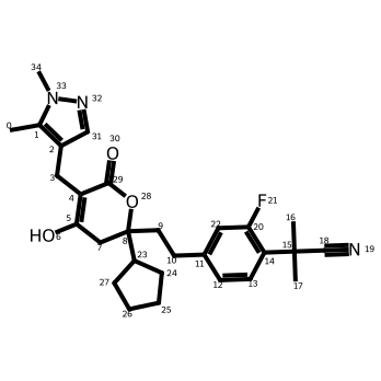 Cc1c(CC2=C(O)CC(CCc3ccc(C(C)(C)C#N)c(F)c3)(C3CCCC3)OC2=O)cnn1C